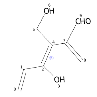 C=C/C(O)=C(\CO)C(=C)C=O